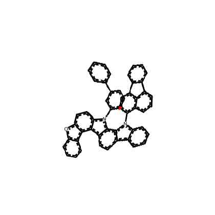 c1ccc(-c2cccc(-n3c4ccc5oc6ccccc6c5c4c4ccc5c6ccccc6n(-c6ccc7c8c(cccc68)-c6ccccc6-7)c5c43)c2)cc1